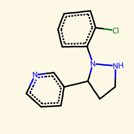 Clc1ccccc1N1NCCC1c1cccnc1